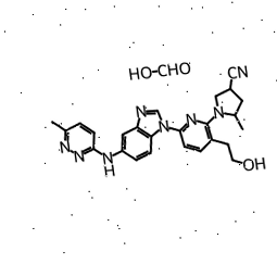 Cc1ccc(Nc2ccc3c(c2)ncn3-c2ccc(CCO)c(N3CC(C#N)CC3C)n2)nn1.O=CO